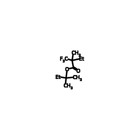 CCC(C)(C)OC(=O)C(C)(CC)C(F)(F)F